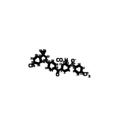 O=C(c1ccc([S+]([O-])c2ccc(C(F)(F)F)cc2)c(C(=O)O)c1)c1ccc(NCC2(c3ccc(Cl)cc3)CC2)cn1